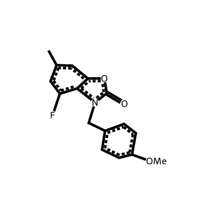 COc1ccc(Cn2c(=O)oc3cc(C)cc(F)c32)cc1